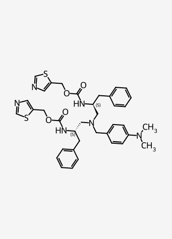 CN(C)c1ccc(CN(C[C@H](Cc2ccccc2)NC(=O)OCc2cncs2)C[C@H](Cc2ccccc2)NC(=O)OCc2cncs2)cc1